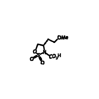 COCCC1COS(=O)(=O)N1C(=O)O